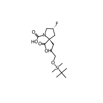 CC(C)(C)[Si](C)(C)OCCC[C@]1(C(=O)O)C[C@@H](F)CN1C(=O)O